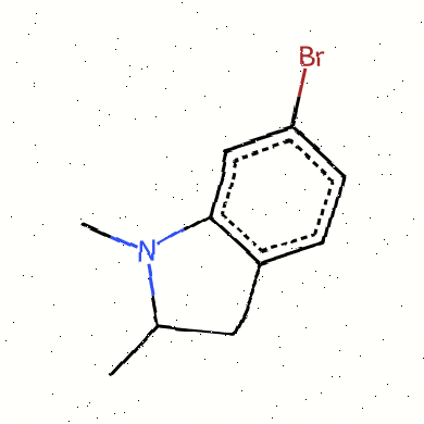 CC1Cc2ccc(Br)cc2N1C